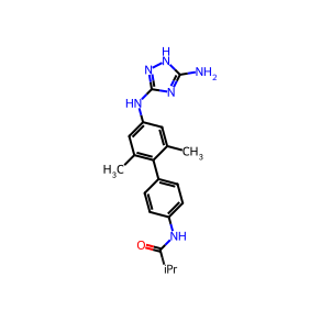 Cc1cc(Nc2n[nH]c(N)n2)cc(C)c1-c1ccc(NC(=O)C(C)C)cc1